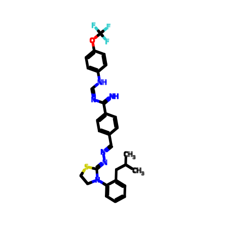 CC(C)Cc1ccccc1N1CCS/C1=N\N=C\c1ccc(C(=N)/N=C\Nc2ccc(OC(F)(F)F)cc2)cc1